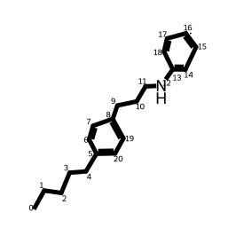 CCCCCc1ccc(CCCNc2cc[c]cc2)cc1